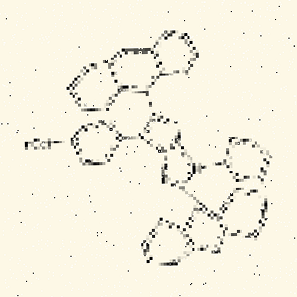 CCCCCCCCc1ccc(-n2c(-c3c4ccccc4cc4ccccc34)cc3c2cc(-c2c4ccccc4cc4ccccc24)n3-c2ccccc2)cc1